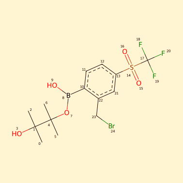 CC(C)(O)C(C)(C)OB(O)c1ccc(S(=O)(=O)C(F)(F)F)cc1CBr